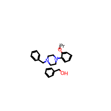 CC(C)Oc1ccccc1N1CCN(Cc2ccccc2)CC1.OCc1ccccc1